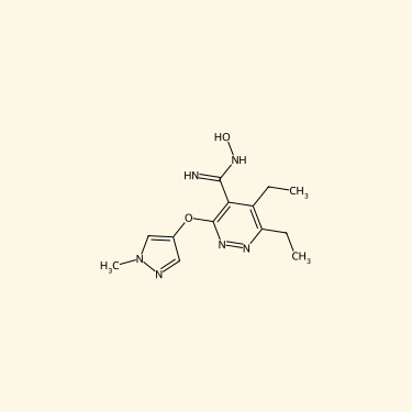 CCc1nnc(Oc2cnn(C)c2)c(C(=N)NO)c1CC